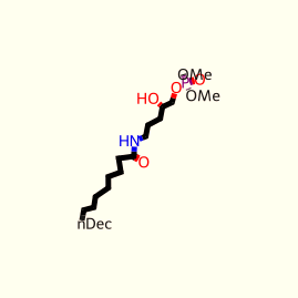 CCCCCCCCCCCCCCCCCC(=O)NCCCC(O)COP(=O)(OC)OC